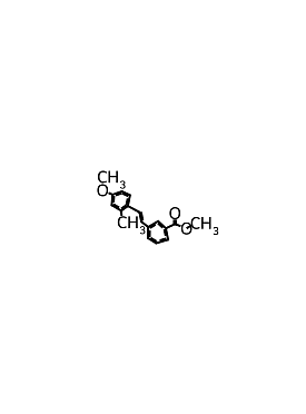 COC(=O)c1cccc(/C=C/c2ccc(OC)cc2C)c1